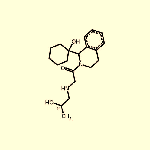 C[C@@H](O)CNCC(=O)N1CCc2ccccc2C1C1(O)CCCCC1